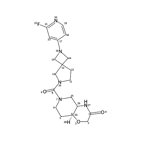 O=C1CO[C@H]2CCN(C(=O)N3CCC4(C3)CN(c3ccnc(F)c3)C4)CC2N1